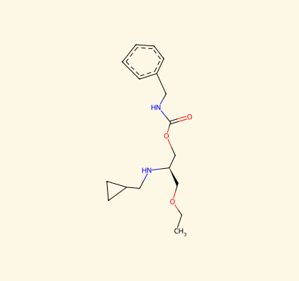 CCOC[C@H](COC(=O)NCc1ccccc1)NCC1CC1